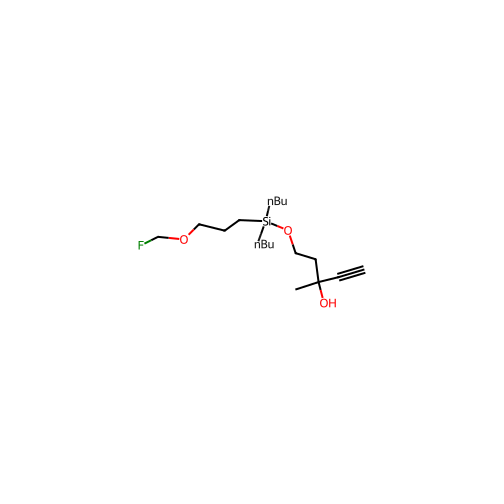 C#CC(C)(O)CCO[Si](CCCC)(CCCC)CCCOCF